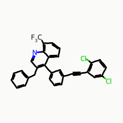 FC(F)(F)c1cccc2c(-c3cccc(C#Cc4cc(Cl)ccc4Cl)c3)c(Cc3ccccc3)cnc12